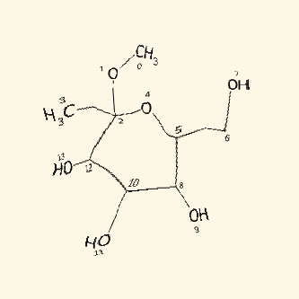 COC1(C)OC(CO)C(O)C(O)C1O